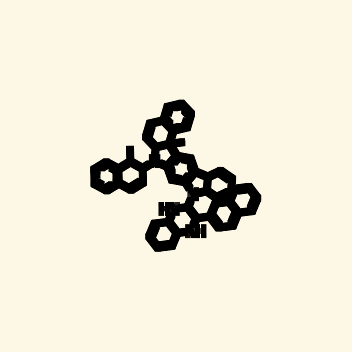 CC1c2ccccc2C=CC1N1c2cc3c(cc2C2(C)c4ccccc4C=CC12)C1C=CC=CC1N3C1NC2C=CC=CC2NC1C1=CC=C2C=CC=CC2C1